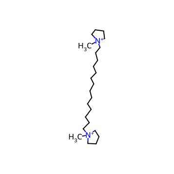 C[N+]1(CCCCCCCCCCCCCC[N+]2(C)CCCC2)CCCC1